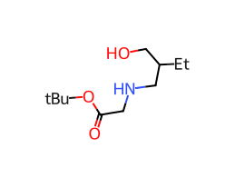 CCC(CO)CNCC(=O)OC(C)(C)C